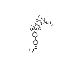 COc1ccc(-c2ccc(S(=O)(=O)N3CCC[C@H]3C(=O)N(CC(N)=O)C(=O)CCl)cc2)cc1